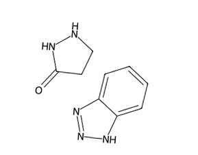 O=C1CCNN1.c1ccc2[nH]nnc2c1